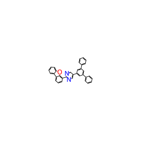 c1ccc(-c2cc(-c3ccccc3)cc(-c3cnc(-c4cccc5c4oc4ccccc45)nc3)c2)cc1